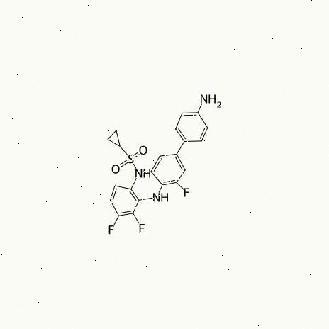 Nc1ccc(-c2ccc(Nc3c(NS(=O)(=O)C4CC4)ccc(F)c3F)c(F)c2)cc1